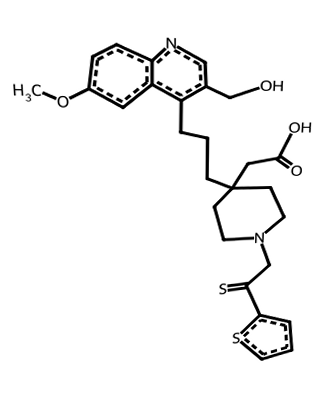 COc1ccc2ncc(CO)c(CCCC3(CC(=O)O)CCN(CC(=S)c4cccs4)CC3)c2c1